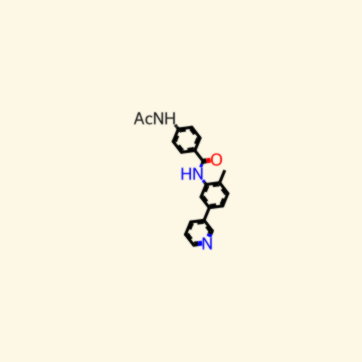 CC(=O)Nc1ccc(C(=O)Nc2cc(-c3cccnc3)ccc2C)cc1